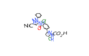 N#Cc1cc(NC(=O)c2cc(-c3ccc(Cl)c(NC(=O)O)n3)ccc2Cl)n(-c2ccccc2)n1